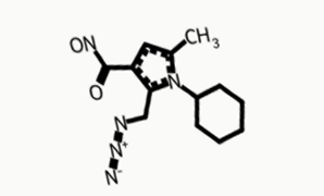 Cc1cc(C(=O)N=O)c(CN=[N+]=[N-])n1C1CCCCC1